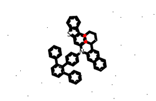 c1ccc(-c2cccc(-c3ccccc3)c2-c2ccc(N(c3ccc4c(c3)sc3ccccc34)c3cc4ccccc4cc3C3CCCCC3)cc2)cc1